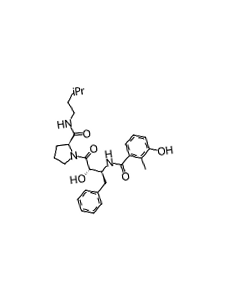 Cc1c(O)cccc1C(=O)N[C@@H](Cc1ccccc1)[C@H](O)C(=O)N1CCC[C@H]1C(=O)NCCC(C)C